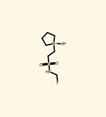 CCC[N+]1(CCS(=O)(=O)NCF)CCCC1